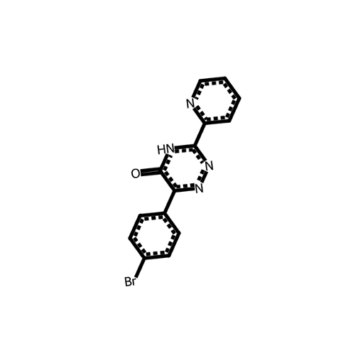 O=c1[nH]c(-c2ccccn2)nnc1-c1ccc(Br)cc1